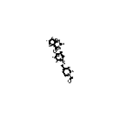 O=CN1CCC(CSN2CCC(Oc3ncnc4c3SCC4)CC2)CC1